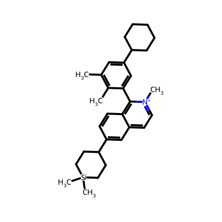 Cc1cc(C2CCCCC2)cc(-c2c3ccc(C4CC[Si](C)(C)CC4)cc3cc[n+]2C)c1C